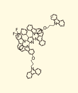 FC(F)(F)c1cccc(-c2c(-n3c4ccccc4c4ccccc43)c(-n3c4ccccc4c4cc(OCCCn5c6ccccc6c6ccccc65)ccc43)nc(-n3c4ccccc4c4cc(OCCCn5c6ccccc6c6ccccc65)ccc43)c2-n2c3ccccc3c3ccccc32)c1